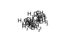 CC(C)(C)C1CCC(C2CC(C(C)(C)C)C(O)C(C(C)(C)C)C2)CC(C(C)(C)C)C1O